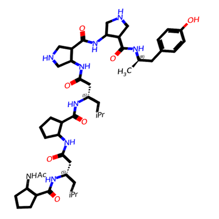 CC(=O)NC1CCCC1C(=O)N[C@H](CC(=O)NC1CCCC1C(=O)N[C@H](CC(=O)NC1CNCC1C(=O)NC1CNCC1C(=O)N[C@H](C)Cc1ccc(O)cc1)CC(C)C)CC(C)C